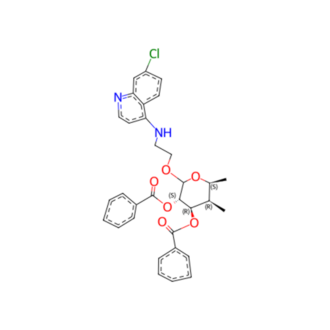 C[C@H]1[C@@H](OC(=O)c2ccccc2)[C@H](OC(=O)c2ccccc2)C(OCCNc2ccnc3cc(Cl)ccc23)O[C@H]1C